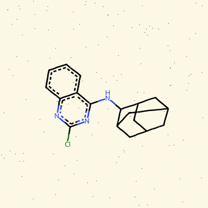 Clc1nc(NC2C3CC4CC(C3)CC2C4)c2ccccc2n1